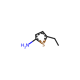 CCc1ccc(N)s1